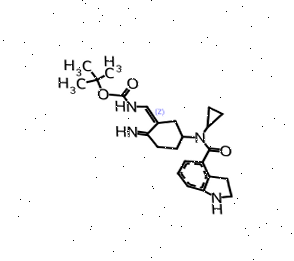 CC(C)(C)OC(=O)N/C=C1/CC(N(C(=O)c2cccc3c2CCN3)C2CC2)CCC1=N